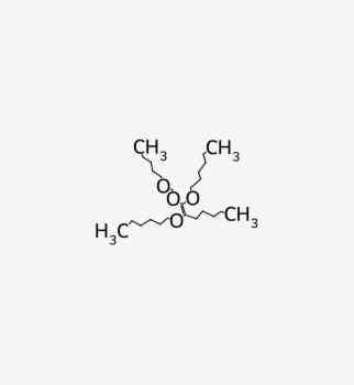 CCCCCCOC(CCCCC)=C(OCCCCCC)OCOCCCCC